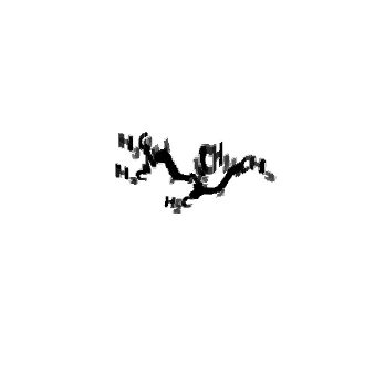 C=C(CCC)N(C)CCN(C)C